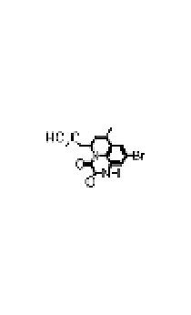 C[C@@H]1C[C@H](CC(=O)O)n2c(=O)c(=O)[nH]c3cc(Br)cc1c32